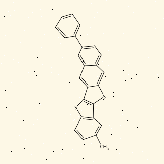 Cc1ccc2sc3c4cc5cc(-c6ccccc6)ccc5cc4sc3c2c1